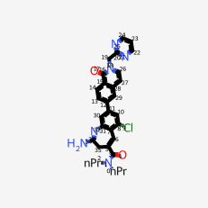 CCCN(CCC)C(=O)C1=Cc2c(Cl)cc(-c3ccc4c(=O)n(Cc5ncccn5)ccc4c3)cc2N=C(N)C1